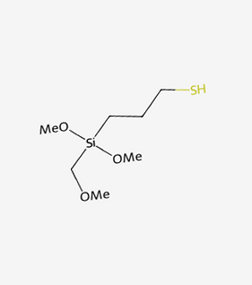 COC[Si](CCCS)(OC)OC